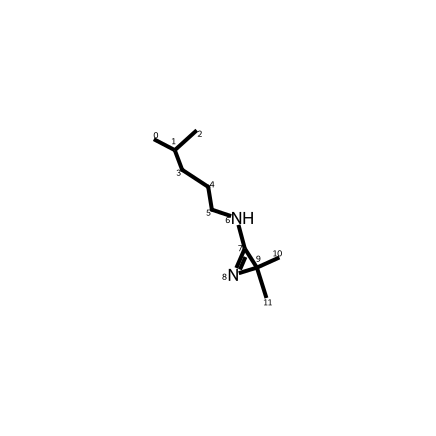 CC(C)CCCNC1=NC1(C)C